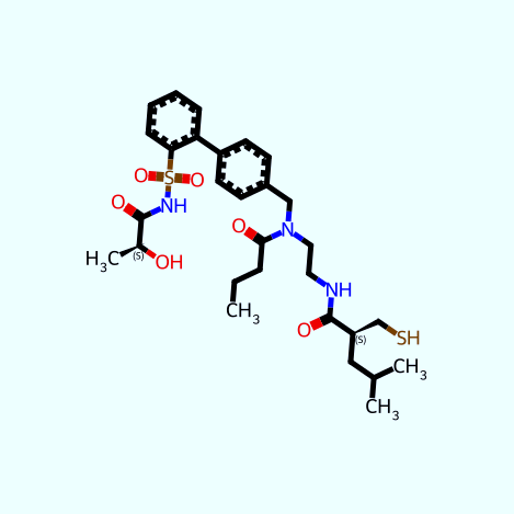 CCCC(=O)N(CCNC(=O)[C@@H](CS)CC(C)C)Cc1ccc(-c2ccccc2S(=O)(=O)NC(=O)[C@H](C)O)cc1